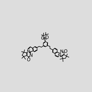 CC1(C)CC(C)(C)c2c1c(=O)nc1c3ccc(CCc4cc(CCc5ccc6c(ccn7c8c(c(=O)nc67)C(C)(C)CC8(C)C)c5)cc(B5OC(C)(C)C(C)(C)O5)c4)cc3ccn21